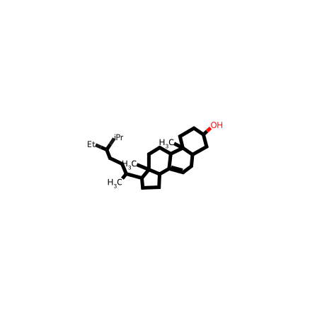 CCC(CCC(C)C1CCC2C3=CCC4CC(O)CCC4(C)C3CCC21C)C(C)C